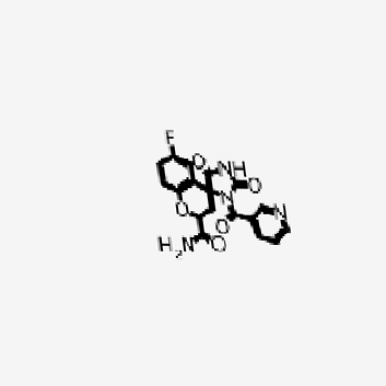 NC(=O)C1CC2(C(=O)NC(=O)N2C(=O)c2cccnc2)c2cc(F)ccc2O1